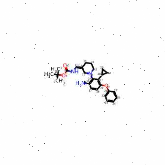 CC(C)(C)OC(=O)N/C=C1/CCCN(c2c(N)ccc(Oc3ccccc3)c2C2CC2)C1